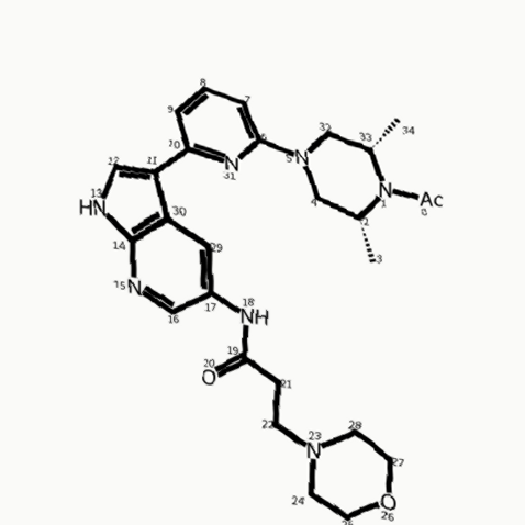 CC(=O)N1[C@H](C)CN(c2cccc(-c3c[nH]c4ncc(NC(=O)CCN5CCOCC5)cc34)n2)C[C@@H]1C